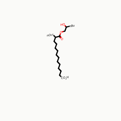 CCCCCCCCC(CCCCCCCCCCCC(=O)O)C(=O)OCC(O)CCCC